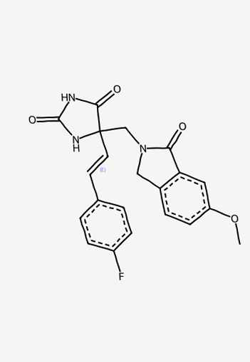 COc1ccc2c(c1)C(=O)N(CC1(/C=C/c3ccc(F)cc3)NC(=O)NC1=O)C2